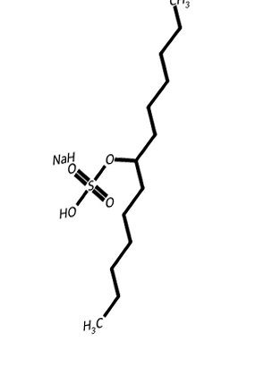 CCCCCCC(CCCCCC)OS(=O)(=O)O.[NaH]